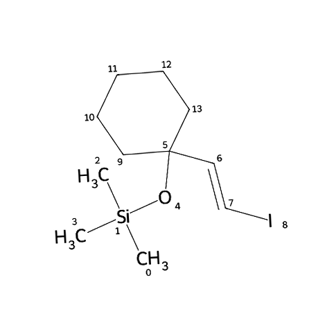 C[Si](C)(C)OC1(/C=C/I)CCCCC1